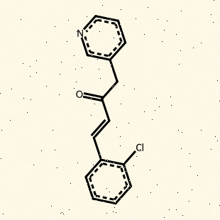 O=C(C=Cc1ccccc1Cl)Cc1cccnc1